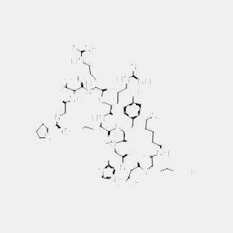 C[C@@H](O)[C@H](NC(=O)CNC(=O)[C@@H]1CCCN1)C(=O)N[C@@H](CCCNC(=N)N)C(=O)N[C@@H](CCCNC(=N)N)C(=O)N[C@@H](CCC(=O)O)C(=O)N[C@@H](Cc1ccc(O)cc1)C(=O)N[C@@H](Cc1c[nH]cn1)C(=O)N[C@H](C(=O)N[C@@H](CCC(=O)O)C(=O)N[C@@H](CCCCN)C(=O)O)[C@@H](C)O